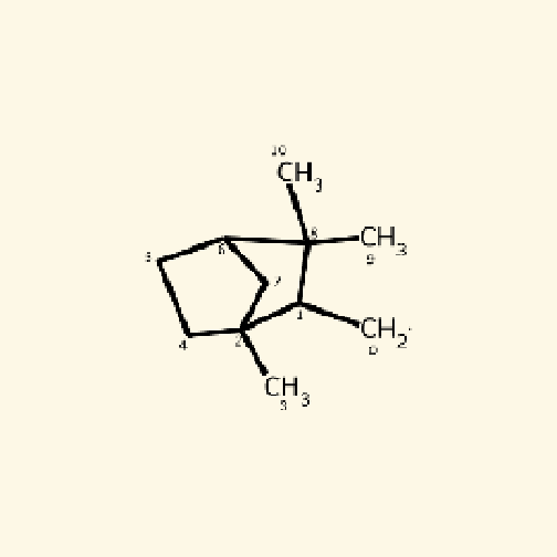 [CH2]C1C2(C)CCC(C2)C1(C)C